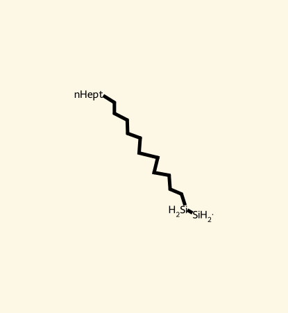 CCCCCCCCCCCCCCCCCC[SiH2][SiH2]